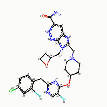 NC(=O)c1cc2nc(CN3CCC(Oc4nc(Cc5ccc(Cl)cc5F)ncc4F)CC3)n(C[C@@H]3CCO3)c2nn1